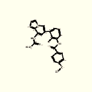 CCOc1ccc(C(=O)Nc2cccc(-c3cc(NC(=O)NC)c4nccn4c3)c2C)cc1